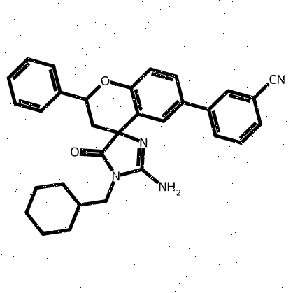 N#Cc1cccc(-c2ccc3c(c2)C2(CC(c4ccccc4)O3)N=C(N)N(CC3CCCCC3)C2=O)c1